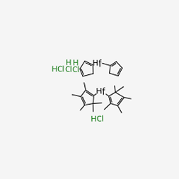 C1=CC[C]([Hf][C]2=CC=CC2)=C1.CC1=C(C)C(C)(C)[C]([Hf][C]2=C(C)C(C)=C(C)C2(C)C)=C1C.Cl.Cl.Cl.Cl